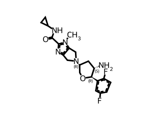 Cn1c(C(=O)NC2CC2)nc2c1CN([C@H]1CO[C@H](c3cc(F)ccc3F)[C@@H](N)C1)C2